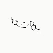 NC(=O)c1ccc2c(c1)ncn2N1CCN(Cc2ccc(Cl)cc2)CC1